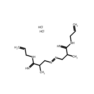 C=CCNC(=N)C(C)CN=NCC(C)C(=N)NCC=C.Cl.Cl